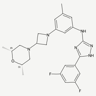 Cc1cc(Nc2n[nH]c(-c3cc(F)cc(F)c3)n2)cc(N2CC(N3C[C@@H](C)O[C@@H](C)C3)C2)c1